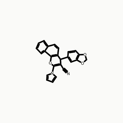 N#CC1=C(n2cccc2)Oc2c(ccc3ccccc23)C1c1ccc2c(c1)OCO2